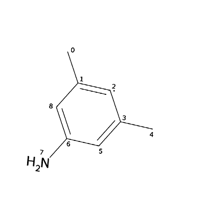 Cc1[c]c(C)cc(N)c1